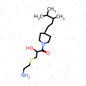 CC(C)C(C)CCC1CCN(C(=O)C(O)CSCCN)CC1